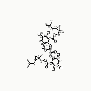 CC(C)CC1CC1(C)COC(=O)c1c(Cl)c(Cl)cc(Cl)c1OC(=O)C(=O)Oc1c(Cl)cc(Cl)c(Cl)c1C(=O)OCC1(C)CC1CC(C)C